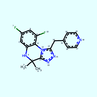 CC1(C)Nc2cc(F)cc(F)c2-n2c(Cc3ccncc3)nnc21